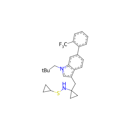 CC(C)(C)Cn1cc(CC2(NSC3CC3)CC2)c2ccc(-c3ccccc3C(F)(F)F)cc21